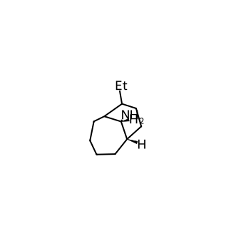 CCC1CC[C@@H]2CCCCC1[C@@H]2N